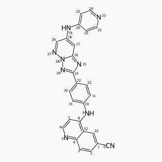 N#Cc1ccc2nccc(Nc3ccc(-c4nc5cc(Nc6ccncc6)cnn5n4)cc3)c2c1